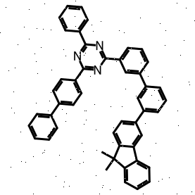 CC1(C)c2ccccc2-c2cc(-c3cccc(-c4cccc(-c5nc(-c6ccccc6)nc(-c6ccc(-c7ccccc7)cc6)n5)c4)c3)ccc21